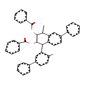 Cc1ccc(-c2ccccc2)cc1C1c2ccc(-c3ccccc3)cc2C(C)C(OC(=O)c2ccccc2)C1OC(=O)c1ccccc1